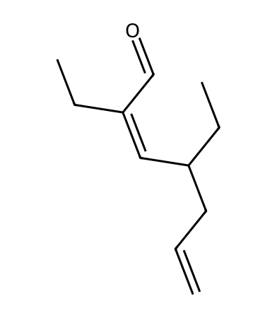 C=CCC(C=C(C=O)CC)CC